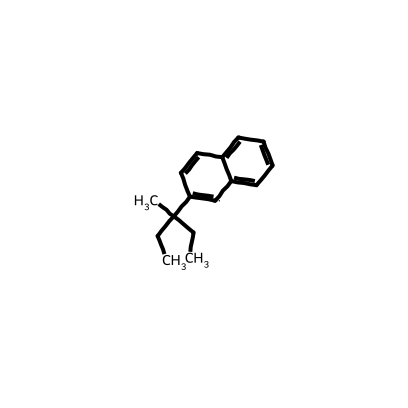 CCC(C)(CC)c1[c]c2ccccc2cc1